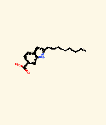 CCCCCCCCc1cc2ccc(C(=O)O)cc2[nH]1